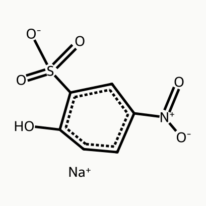 O=[N+]([O-])c1ccc(O)c(S(=O)(=O)[O-])c1.[Na+]